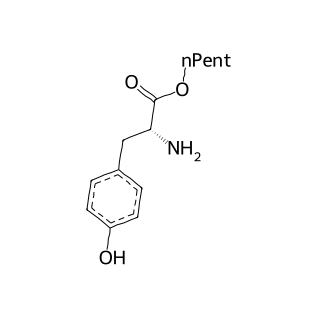 CCCCCOC(=O)[C@H](N)Cc1ccc(O)cc1